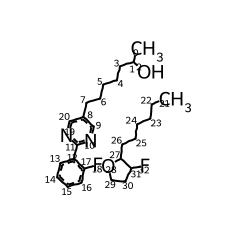 CC(O)CCCCCc1cnc(-c2ccccc2F)nc1.CCCCCCC1OCCC1F